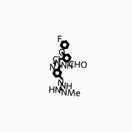 CNC(=N)N/N=C/c1ccc2ncnc(Nc3c(C=O)ccc(Oc4cccc(F)c4)c3Cl)c2c1